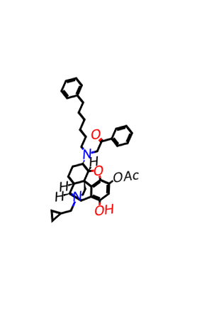 CC(=O)Oc1cc(O)c2c3c1O[C@H]1[C@@H](N(CCCCCCc4ccccc4)CC(=O)c4ccccc4)CC[C@H]4[C@@H](C2)N(CC2CC2)CC[C@@]341